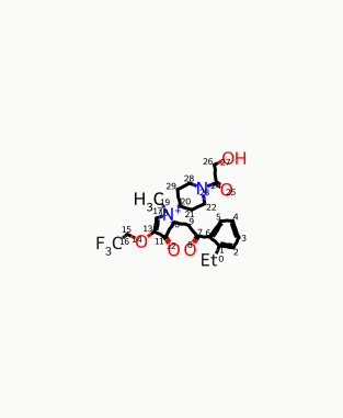 CCc1ccccc1C(=O)CC1C(=O)C(OCC(F)(F)F)=C[N+]1(C)C1CCN(C(=O)CO)CC1